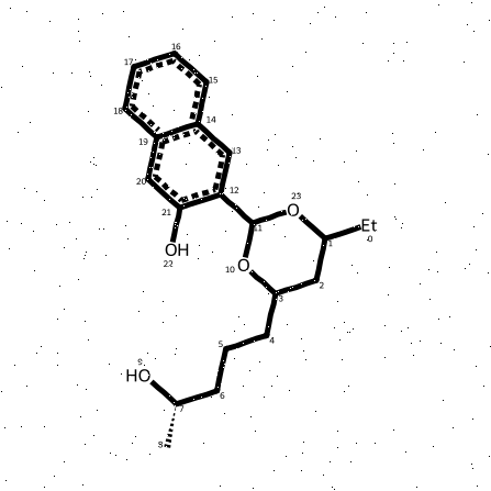 CCC1CC(CCC[C@H](C)O)OC(c2cc3ccccc3cc2O)O1